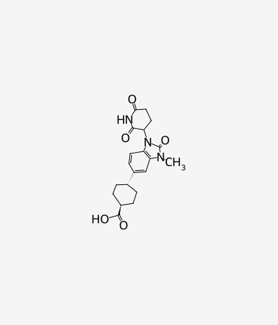 Cn1c(=O)n(C2CCC(=O)NC2=O)c2ccc([C@H]3CC[C@H](C(=O)O)CC3)cc21